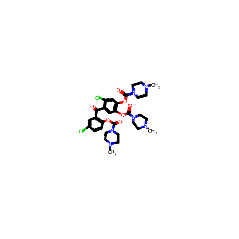 CN1CCN(C(=O)Oc2cc(Cl)c(C(=O)c3cc(Cl)ccc3OC(=O)N3CCN(C)CC3)cc2OC(=O)N2CCN(C)CC2)CC1